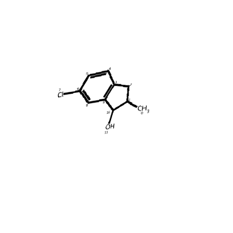 CC1Cc2ccc(Cl)cc2C1O